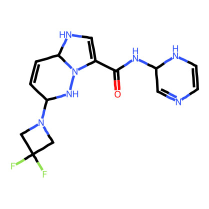 O=C(NC1C=NC=CN1)C1=CNC2C=CC(N3CC(F)(F)C3)NN12